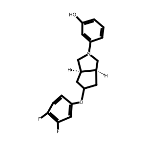 Oc1cc[c]c(N2C[C@H]3CC(Oc4ccc(F)c(F)c4)C[C@H]3C2)c1